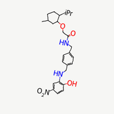 CC1CCC(C(C)C)C(OCC(=O)NCc2ccc(CNc3cc([N+](=O)[O-])ccc3O)cc2)C1